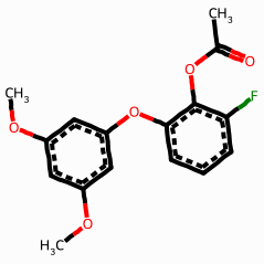 COc1cc(OC)cc(Oc2cccc(F)c2OC(C)=O)c1